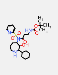 CC(C)(C)OC(=O)NCCC(=O)N(C1CCCNC(C2CCCCC2)[C@@H]1O)S(=O)(=O)c1ccccn1